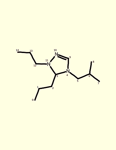 CCCC1N(CC(C)C)C=NN1CCC